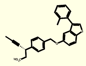 CC#C[C@@H](CC(=O)O)c1ccc(COc2ccc3scc(-c4ccccc4C)c3c2)cc1